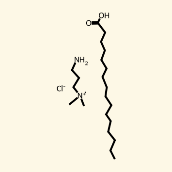 CCCCCCCCCCCCCCCC(=O)O.C[N+](C)(C)CCCN.[Cl-]